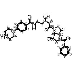 CC(CCNC(=O)c1ccc(N2CCNCC2)cc1)CC(=O)N1CCC2C1C(=O)CN2C(=O)c1ccccn1